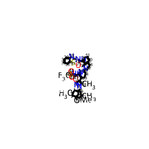 COC12CC(C)CC(Cn3ncc(-c4ccc(N5CCc6cccc(C(=O)Nc7nc8ccccc8s7)c6C5)nc4C(=O)NS(=O)(=O)C(F)(F)F)c3C)(CC(C)C1)C2